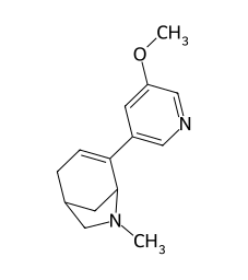 COc1cncc(C2=CCC3CC2N(C)C3)c1